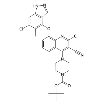 Cc1c(Cl)cc2[nH]ncc2c1Oc1cccc2c(N3CCN(C(=O)OC(C)(C)C)CC3)c(C#N)c(Cl)nc12